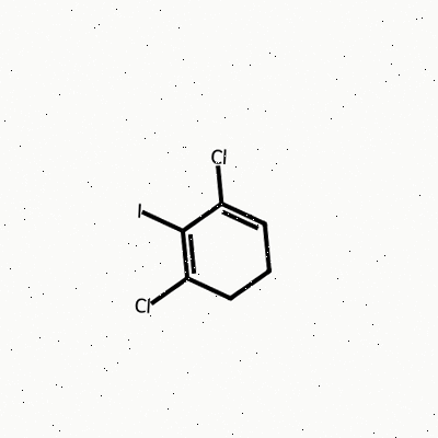 ClC1=CCCC(Cl)=C1I